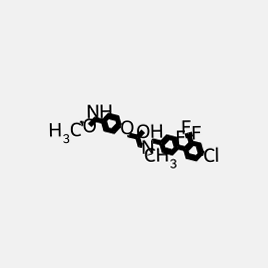 CCOC(=N)c1ccc(OCC(O)CN(C)Cc2ccc(-c3ccc(Cl)cc3C(F)(F)F)cc2)cc1